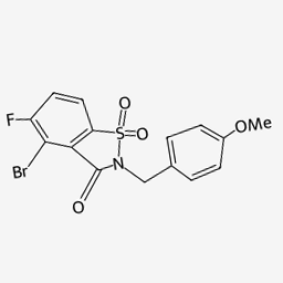 COc1ccc(CN2C(=O)c3c(ccc(F)c3Br)S2(=O)=O)cc1